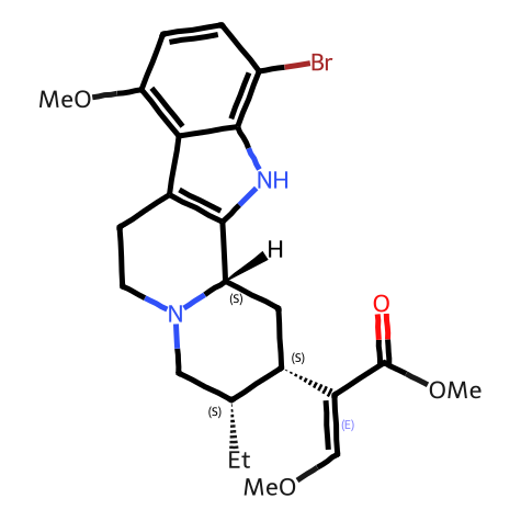 CC[C@@H]1CN2CCc3c([nH]c4c(Br)ccc(OC)c34)[C@@H]2C[C@@H]1/C(=C\OC)C(=O)OC